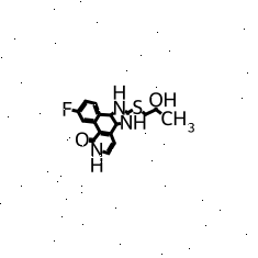 CC(O)CSC1NC2c3ccc(F)cc3-c3c(cc[nH]c3=O)C2N1